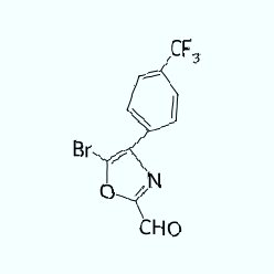 O=Cc1nc(-c2ccc(C(F)(F)F)cc2)c(Br)o1